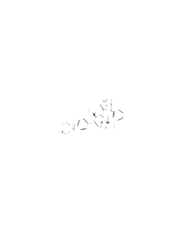 C[C@@H]1CN(c2ccc(-c3c[nH]nc(-c4ccnn4-c4ccccc4)c3=O)c(F)c2)C[C@H](C)O1